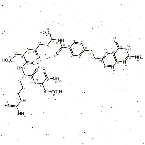 N=C(N)NCCC[C@H](NC(=O)C(CC(=O)O)NC(=O)CC[C@H](NC(=O)c1ccc(NCc2cnc3nc(N)[nH]c(=O)c3n2)cc1)C(=O)O)C(=O)NC(CC(=O)O)C(N)=O